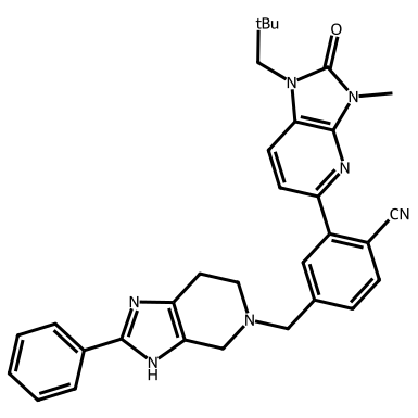 Cn1c(=O)n(CC(C)(C)C)c2ccc(-c3cc(CN4CCc5nc(-c6ccccc6)[nH]c5C4)ccc3C#N)nc21